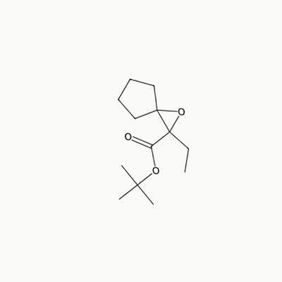 CCC1(C(=O)OC(C)(C)C)OC12CCCC2